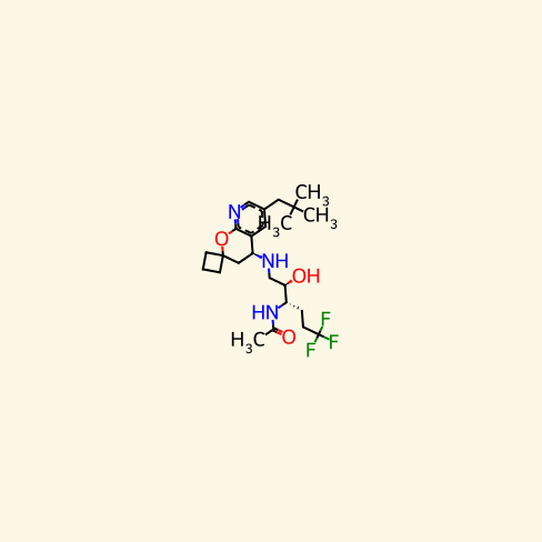 CC(=O)N[C@@H](CCC(F)(F)F)[C@H](O)CN[C@H]1CC2(CCC2)Oc2ncc(CC(C)(C)C)cc21